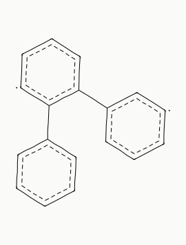 [c]1cccc(-c2ccc[c]c2-c2ccccc2)c1